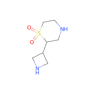 O=S1(=O)CCNCC1C1CNC1